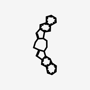 C1=C2CCC3=Cc4cc5ccccc5cc4C3CCC2c2cc3ccccc3cc21